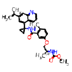 C=C(C)c1cc(C2(NC(=O)c3cc(OC[C@H](C)NC(=O)OC)ccc3C)CC2)c2cccnc2c1